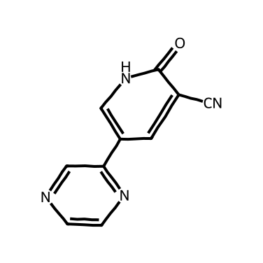 N#Cc1cc(-c2cnccn2)c[nH]c1=O